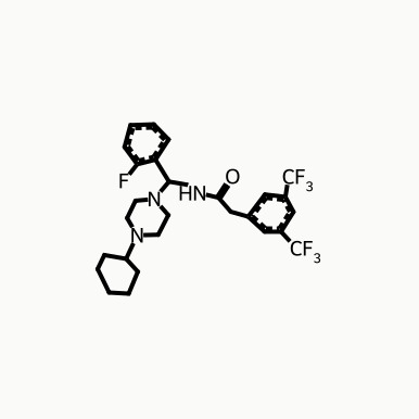 O=C(Cc1cc(C(F)(F)F)cc(C(F)(F)F)c1)NCC(c1ccccc1F)N1CCN(C2CCCCC2)CC1